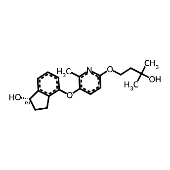 Cc1nc(OCCC(C)(C)O)ccc1Oc1cccc2c1CC[C@@H]2O